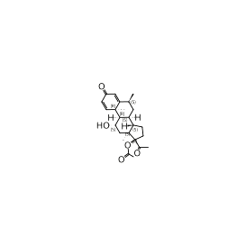 CC(=O)O[C@]1(C(C)=O)CC[C@H]2[C@@H]3C[C@H](C)C4=CC(=O)C=C[C@]4(C)[C@@H]3[C@@H](O)C[C@@]21C